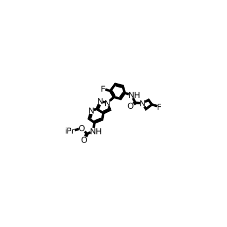 CC(C)OC(=O)Nc1cnc2nn(-c3cc(NC(=O)N4CC(F)C4)ccc3F)cc2c1